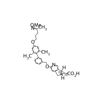 CON=C(C)CCCOc1cc(C)c(-c2cccc(COc3cc4c(cn3)[C@H]3[C@@H](C4)[C@@H]3C(=O)O)c2)c(C)c1